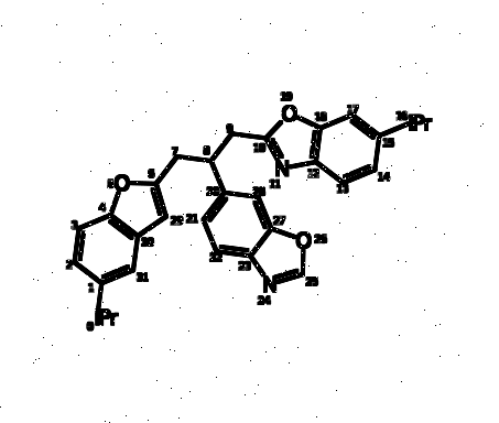 CC(C)c1ccc2oc(CC(Cc3nc4ccc(C(C)C)cc4o3)c3ccc4ncoc4c3)cc2c1